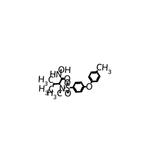 Cc1ccc(Oc2ccc(S(=O)(=O)N(C)C(C(=O)NO)C(C)C)cc2)cc1